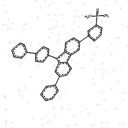 CP(C)(=O)c1cccc(-c2ccc3c(c2)c2ccc(-c4ccccc4)cc2n3-c2ccc(-c3ccccc3)cc2)c1